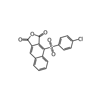 O=C1OC(=O)c2c1cc1ccccc1c2S(=O)(=O)c1ccc(Cl)cc1